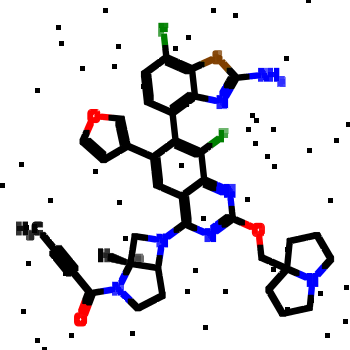 CC#CC(=O)N1CCC2[C@H]1CN2c1nc(OCC23CCCN2CCC3)nc2c(F)c(-c3ccc(F)c4sc(N)nc34)c(-c3ccoc3)cc12